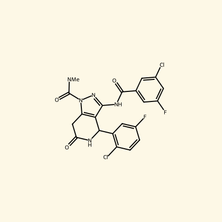 CNC(=O)n1nc(NC(=O)c2cc(F)cc(Cl)c2)c2c1CC(=O)NC2c1cc(F)ccc1Cl